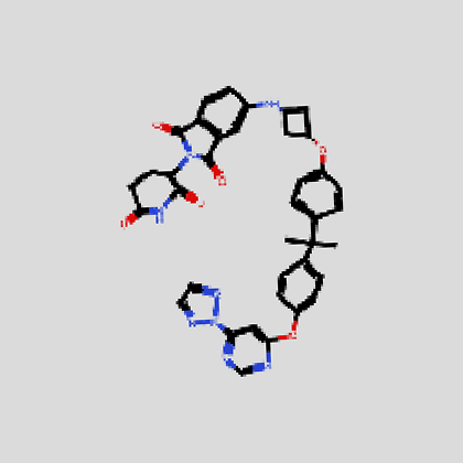 CC(C)(c1ccc(Oc2cc(-n3nccn3)ncn2)cc1)c1ccc(O[C@H]2C[C@@H](Nc3ccc4c(c3)C(=O)N(C3CCC(=O)NC3=O)C4=O)C2)cc1